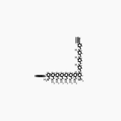 Br.Br.Br.Br.Br.Br.Br.Br.Br.Br.Br.Br.NCc1ccccc1.NCc1ccccc1.NCc1ccccc1.NCc1ccccc1.NCc1ccccc1.NCc1ccccc1.NCc1ccccc1.NCc1ccccc1.NCc1ccccc1.NCc1ccccc1.NCc1ccccc1.NCc1ccccc1